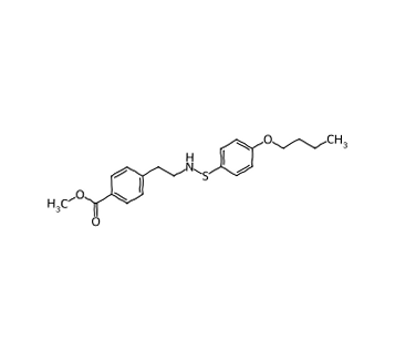 CCCCOc1ccc(SNCCc2ccc(C(=O)OC)cc2)cc1